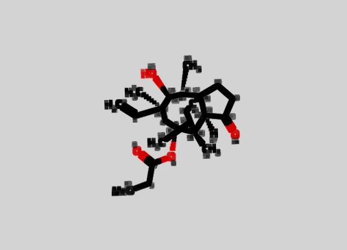 C=C[C@]1(C)C[C@@H](OC(=O)COC)[C@]2(C)C(C)CC[C@]3(CCC(=O)[C@H]32)[C@@H](C)[C@@H]1O